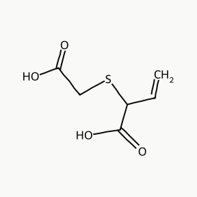 C=CC(SCC(=O)O)C(=O)O